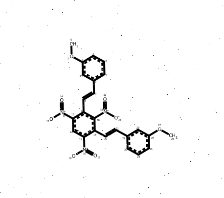 COc1cccc(C=Cc2c([N+](=O)[O-])cc([N+](=O)[O-])c(C=Cc3cccc(OC)c3)c2[N+](=O)[O-])c1